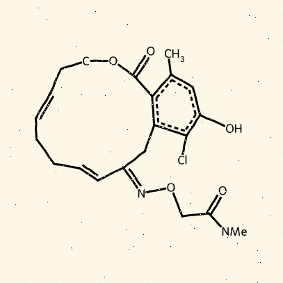 CNC(=O)CO/N=C1/C=C/CC/C=C/CCOC(=O)c2c(C)cc(O)c(Cl)c2C1